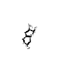 Cc1cc2ccc(Br)cc2oc1=O